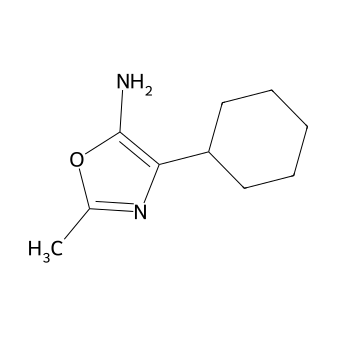 Cc1nc(C2CCCCC2)c(N)o1